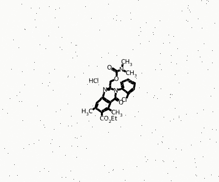 CCOC(=O)c1c(C)cc2nc(COC(=O)N(C)C)n(-c3ccccc3Cl)c(=O)c2c1C.Cl